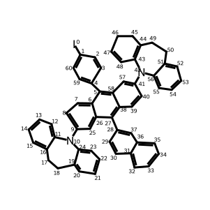 Ic1ccc(-c2c3ccc(N4c5ccccc5CCc5ccccc54)cc3c(-c3ccc4ccccc4c3)c3ccc(N4C5=C(CCC=C5)CCc5ccccc54)cc23)cc1